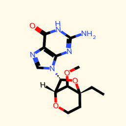 CC[C@@]12CCO[C@@H](C1OC)[C@H](n1cnc3c(=O)[nH]c(N)nc31)O2